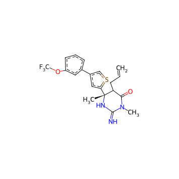 C=CCC1C(=O)N(C)C(=N)N[C@]1(C)c1cc(-c2cccc(OC(F)(F)F)c2)cs1